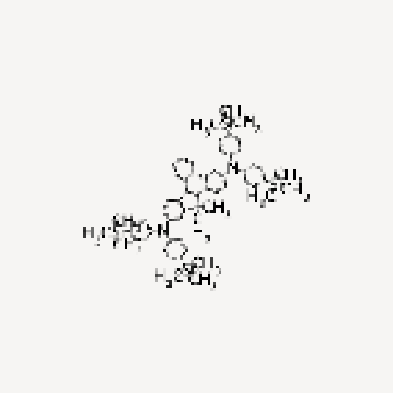 CC1(C)c2cc(N(c3ccc([Si](C)(C)C)cc3)c3ccc([Si](C)(C)C)cc3)ccc2-c2c1c1ccc(N(c3ccc([Si](C)(C)C)cc3)c3ccc([Si](C)(C)C)cc3)cc1c1ccccc21